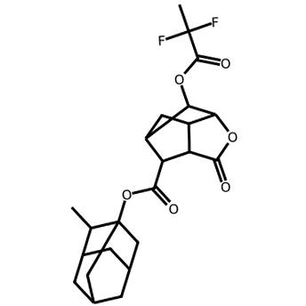 CC1C2CC3CC(C2)CC1(OC(=O)C1C2CC4C(OC(=O)C41)C2OC(=O)C(C)(F)F)C3